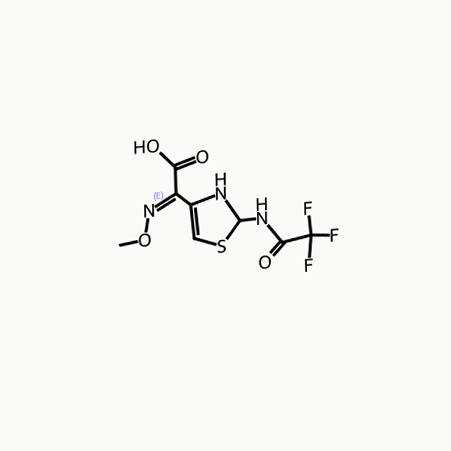 CO/N=C(/C(=O)O)C1=CSC(NC(=O)C(F)(F)F)N1